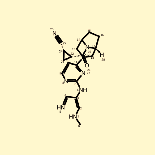 CN/C=C(\C=N)Nc1nccc(N2CC3CC[C@H](C2)N3C(=O)[C@@H]2C[C@@H]2C#N)n1